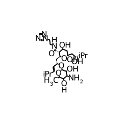 CC(C)/C=C/[C@@H](C[C@@H]1O[C@](O)(C[C@@H](O)C(C)C)C[C@H](O)[C@H]1C(=O)NCCn1cncn1)OC1OC(C)C(O)C(N)C1O